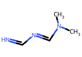 CN(C)/C=N/C=N